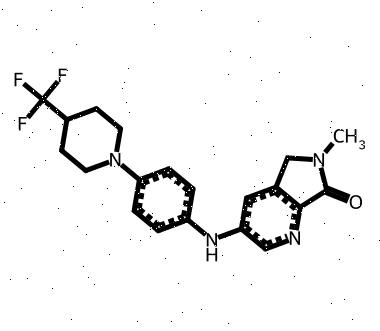 CN1Cc2cc(Nc3ccc(N4CCC(C(F)(F)F)CC4)cc3)cnc2C1=O